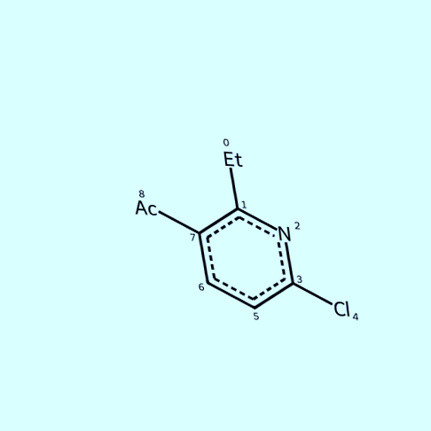 CCc1nc(Cl)ccc1C(C)=O